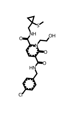 CSC1(CNC(=O)c2ccc(C(=O)NCc3ccc(Cl)cc3)c(=O)n2CCO)CC1